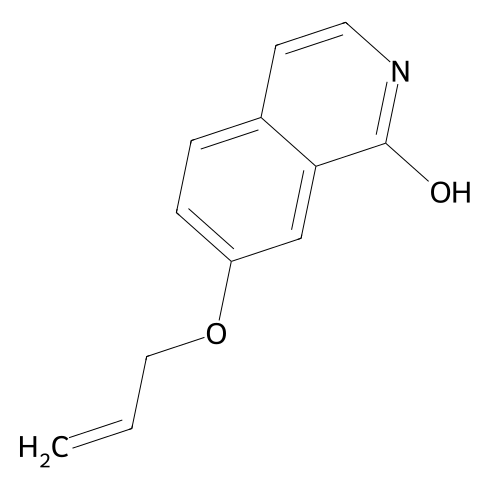 C=CCOc1ccc2ccnc(O)c2c1